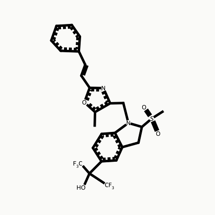 Cc1oc(/C=C/c2ccccc2)nc1CN1c2ccc(C(O)(C(F)(F)F)C(F)(F)F)cc2CC1S(C)(=O)=O